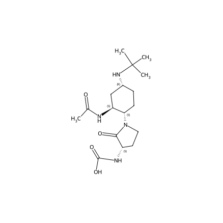 CC(=O)N[C@H]1C[C@H](NC(C)(C)C)CC[C@@H]1N1CC[C@H](NC(=O)O)C1=O